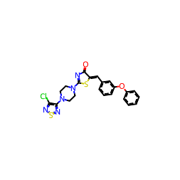 O=C1N=C(N2CCN(c3nsnc3Cl)CC2)SC1=Cc1cccc(Oc2ccccc2)c1